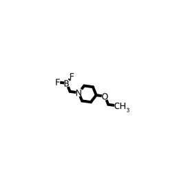 CCOC1CCN(CB(F)F)CC1